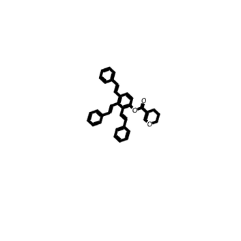 O=C(Oc1ccc(C=Cc2ccccc2)c(C=Cc2ccccc2)c1C=Cc1ccccc1)C1=COCCC1